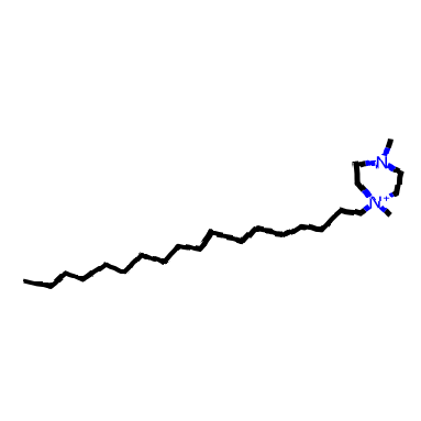 CCCCCCCCCCCCCCCCCC[N+]1(C)CCN(C)CC1